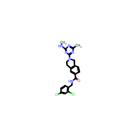 CNc1nc(C)nc(N2CCc3cc(C(=O)NCc4ccc(Cl)cc4Cl)ccc3C2)n1